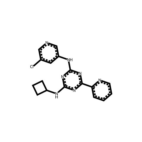 Clc1cncc(Nc2nc(NC3CCC3)nc(-c3ccccn3)n2)c1